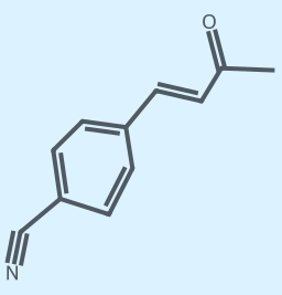 CC(=O)C=Cc1ccc(C#N)cc1